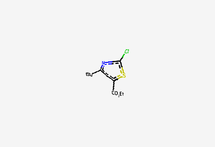 CCOC(=O)c1sc(Cl)nc1C(C)(C)C